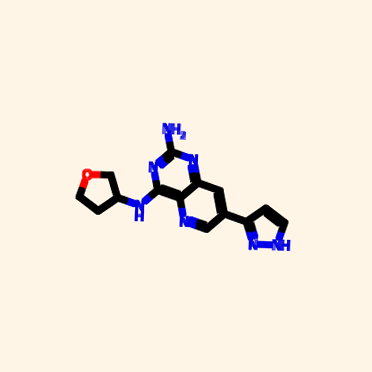 Nc1nc(NC2CCOC2)c2ncc(-c3cc[nH]n3)cc2n1